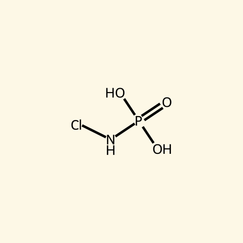 O=P(O)(O)NCl